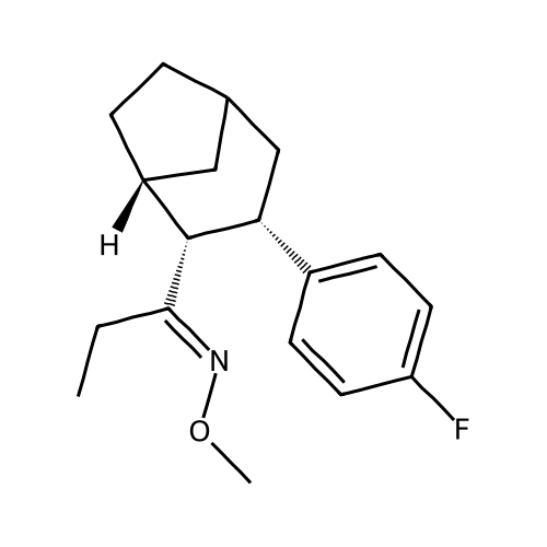 CCC(=NOC)[C@@H]1[C@@H]2CCC(C2)C[C@@H]1c1ccc(F)cc1